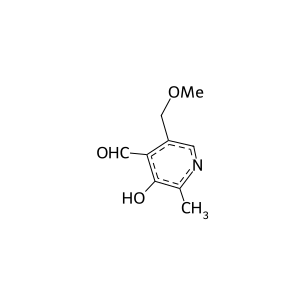 COCc1cnc(C)c(O)c1C=O